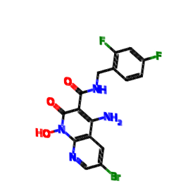 Nc1c(C(=O)NCc2ccc(F)cc2F)c(=O)n(O)c2ncc(Br)cc12